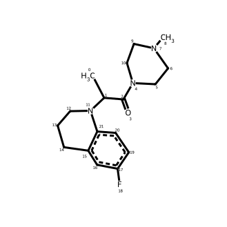 CC(C(=O)N1CCN(C)CC1)N1CCCc2cc(F)ccc21